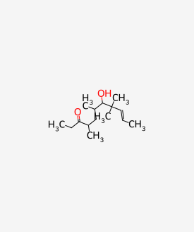 CC=CC(C)(C)C(O)C(C)CC(C)C(=O)CC